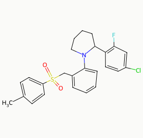 Cc1ccc(S(=O)(=O)Cc2ccccc2N2CCCCC2c2ccc(Cl)cc2F)cc1